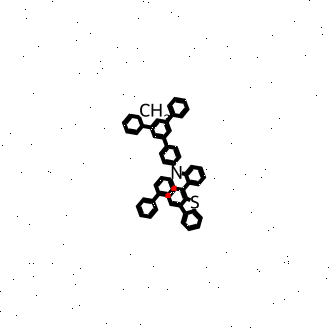 CC1C=CC=CC1c1cc(-c2ccccc2)cc(-c2ccc(N(c3ccc(-c4ccccc4)cc3)c3ccccc3-c3cccc4c3sc3ccccc34)cc2)c1